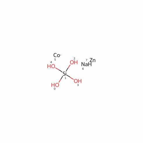 O[Si](O)(O)O.[Co].[NaH].[Zn]